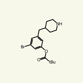 CC(C)(C)C(=O)Oc1cc(Br)cc(CC2CCNCC2)c1